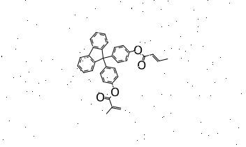 C=C(C)C(=O)Oc1ccc(C2(c3ccc(OC(=O)/C=C/C)cc3)c3ccccc3-c3ccccc32)cc1